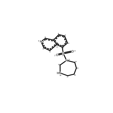 O=S(=O)(c1cccc2cnccc12)N1CCCCNC1